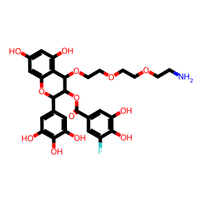 NCCOCCOCCOC1c2c(O)cc(O)cc2OC(c2cc(O)c(O)c(O)c2)C1OC(=O)c1cc(O)c(O)c(F)c1